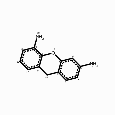 Nc1ccc2c(c1)Oc1c(N)cccc1C2